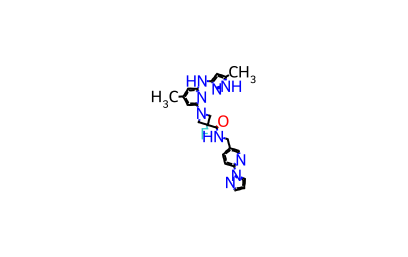 Cc1cc(Nc2cc(C)[nH]n2)nc(N2CC(F)(C(=O)NCc3ccc(-n4cccn4)nc3)C2)c1